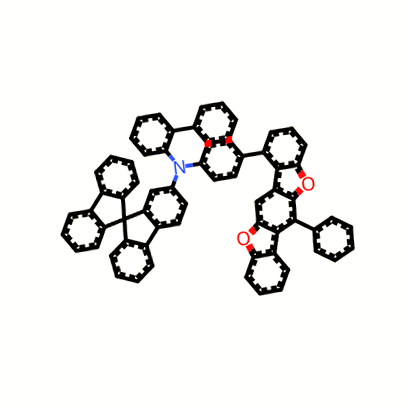 c1ccc(-c2ccccc2N(c2ccc(-c3cccc4oc5c(-c6ccccc6)c6c(cc5c34)oc3ccccc36)cc2)c2ccc3c(c2)C2(c4ccccc4-c4ccccc42)c2ccccc2-3)cc1